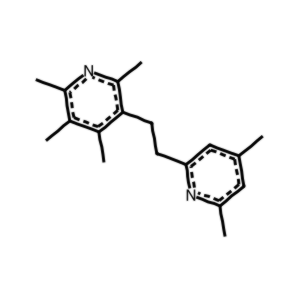 Cc1cc(C)nc(CCc2c(C)nc(C)c(C)c2C)c1